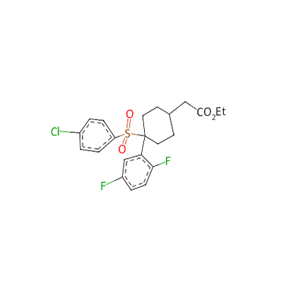 CCOC(=O)CC1CCC(c2cc(F)ccc2F)(S(=O)(=O)c2ccc(Cl)cc2)CC1